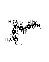 CC(C)OC(=O)[C@H](Cc1ccc(-n2c(=O)c3c(n(C)c2=O)CN(C)CC3)cc1)NC(=O)c1cc(F)c(NS(=O)(=O)c2ccc(NC(=O)C(C)(C)C)cc2)cc1F